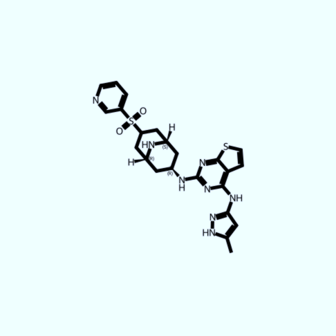 Cc1cc(Nc2nc(N[C@@H]3C[C@H]4CC(S(=O)(=O)c5cccnc5)C[C@@H](C3)N4)nc3sccc23)n[nH]1